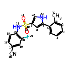 Cc1ccccc1-c1cc(S(=O)(=O)Nc2ccc(C#N)cc2F)c[nH]1